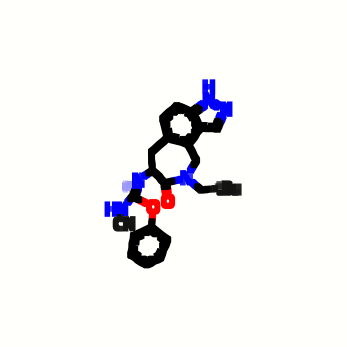 CC(C)(C)CN1Cc2c(ccc3[nH]ncc23)CC(/N=C(/NC#N)Oc2ccccc2)C1=O